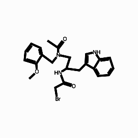 COc1ccccc1CN(CC(Cc1c[nH]c2ccccc12)NC(=O)CBr)C(C)=O